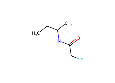 CCC(C)NC(=O)CF